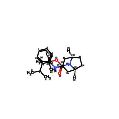 CC(C)c1ccccc1N[C@H]1C[C@H]2CC[C@@H](C1)N2C(=O)OC(C)(C)C